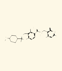 Cc1cc(C)c(CNC(=O)c2ccc3c(c2C)COC(C)(C2CCC(N(C)C)CC2)O3)c(=O)[nH]1